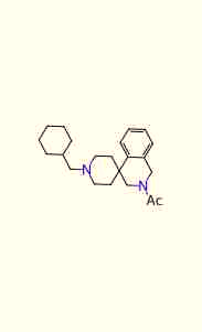 CC(=O)N1Cc2ccccc2C2(CCN(CC3CCCCC3)CC2)C1